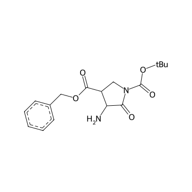 CC(C)(C)OC(=O)N1CC(C(=O)OCc2ccccc2)C(N)C1=O